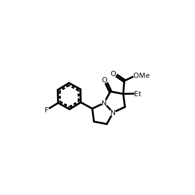 CCC1(C(=O)OC)CN2CCC(c3cccc(F)c3)N2C1=O